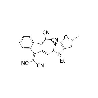 CCn1c(C=C2C(=C(C#N)C#N)c3ccccc3C2=C(C#N)C#N)nc2oc(C)cc21